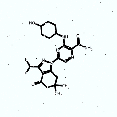 CC1(C)CC(=O)c2c(C(F)F)nn(-c3cnc(C(N)=O)c(NC4CCC(O)CC4)n3)c2C1